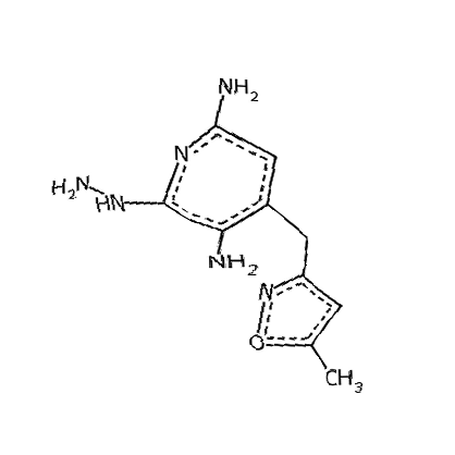 Cc1cc(Cc2cc(N)nc(NN)c2N)no1